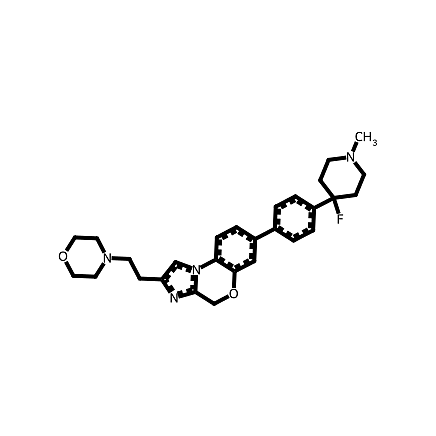 CN1CCC(F)(c2ccc(-c3ccc4c(c3)OCc3nc(CCN5CCOCC5)cn3-4)cc2)CC1